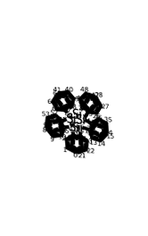 c1ccc([Si]2(c3ccccc3)[Si](c3ccccc3)(c3ccccc3)[Si](c3ccccc3)(c3ccccc3)[Si](c3ccccc3)(c3ccccc3)[Si]2(c2ccccc2)c2ccccc2)cc1